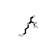 CCCC/N=C(/C=O)NC